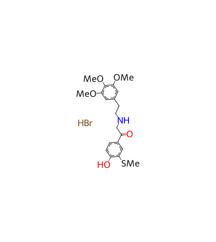 Br.COc1cc(CCNCC(=O)c2ccc(O)c(SC)c2)cc(OC)c1OC